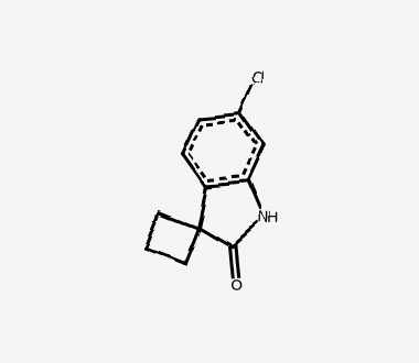 O=C1Nc2cc(Cl)ccc2C12CCC2